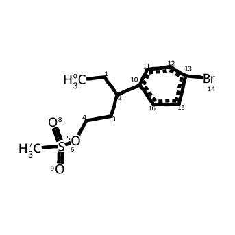 CCC(CCOS(C)(=O)=O)c1ccc(Br)cc1